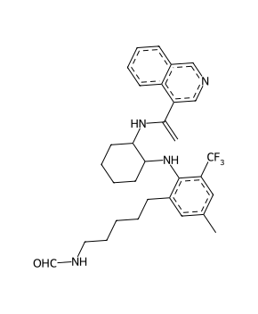 C=C(NC1CCCCC1Nc1c(CCCCCNC=O)cc(C)cc1C(F)(F)F)c1cncc2ccccc12